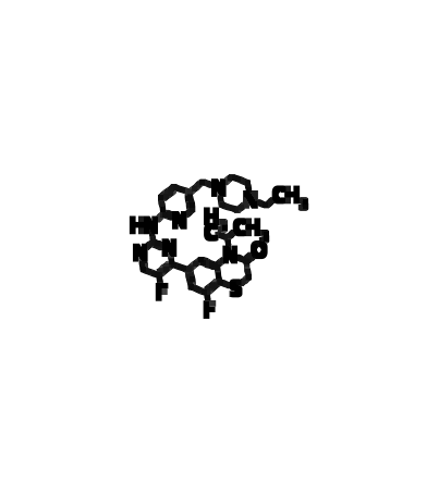 CCN1CCN(Cc2ccc(Nc3ncc(F)c(-c4cc(F)c5c(c4)N(C(C)C)C(=O)CS5)n3)nc2)CC1